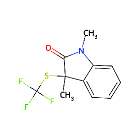 CN1C(=O)C(C)(SC(F)(F)F)c2ccccc21